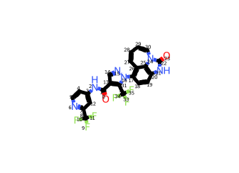 O=C(Nc1ccnc(C(F)(F)F)c1)c1cnn(-c2ccc3[nH]c(=O)n4c3c2C=CC=C4)c1C(F)(F)F